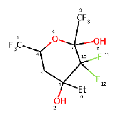 CCC1(O)CC(C(F)(F)F)OC(O)(C(F)(F)F)C1(F)F